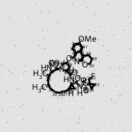 COc1ccc2c(O[C@@H]3C[C@H]4C(=O)N[C@]5(C(=O)NS(=O)(=O)C6(CF)CC6)C[C@H]5/C=C\CC[C@H](C)C[C@@H](C)[C@H](NC(=O)O)C(=O)N4C3)nc3c(c2c1)CCCO3